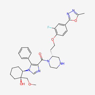 COC[C@]1(O)CCCC[C@H]1n1cnc(C(=O)N2CCNC[C@H]2CCOc2ccc(-c3nnc(C)o3)cc2F)c1-c1ccccc1